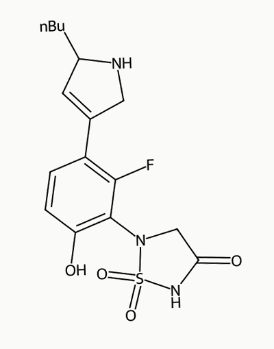 CCCCC1C=C(c2ccc(O)c(N3CC(=O)NS3(=O)=O)c2F)CN1